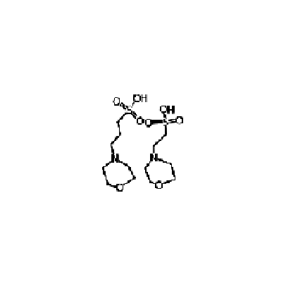 O=S(=O)(O)CCCN1CCOCC1.O=S(=O)(O)CCN1CCOCC1